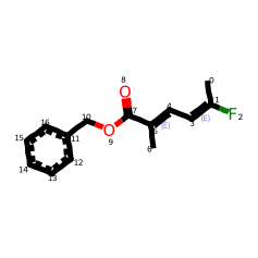 C/C(F)=C\C=C(/C)C(=O)OCc1ccccc1